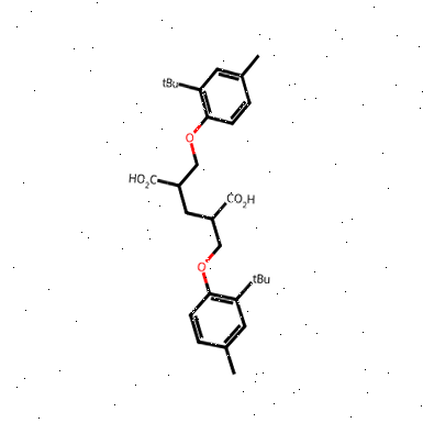 Cc1ccc(OCC(CC(COc2ccc(C)cc2C(C)(C)C)C(=O)O)C(=O)O)c(C(C)(C)C)c1